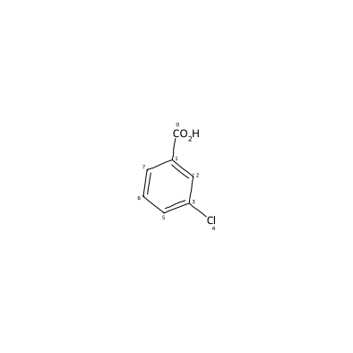 O=C(O)c1[c]c(Cl)ccc1